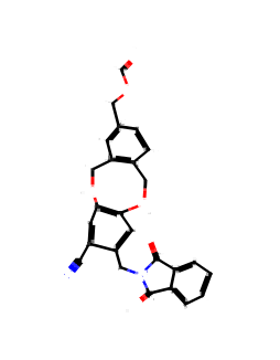 N#Cc1cc2c(cc1CN1C(=O)c3ccccc3C1=O)OCc1ccc(COC=O)cc1CO2